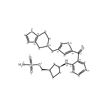 NS(=O)(=O)OC[C@@H]1CC[C@H](Nc2ncncc2C(=O)c2cc(CN3CCc4sccc4C3)cs2)C1